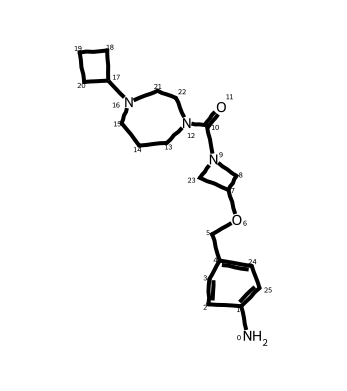 Nc1ccc(COC2CN(C(=O)N3CCCN(C4CCC4)CC3)C2)cc1